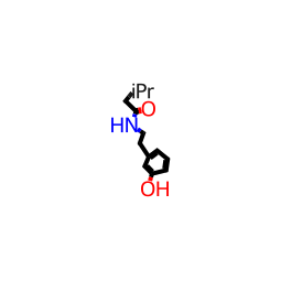 CC(C)CC(=O)NCCc1cccc(O)c1